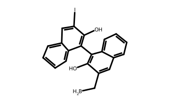 BCc1cc2ccccc2c(-c2c(O)c(I)cc3ccccc23)c1O